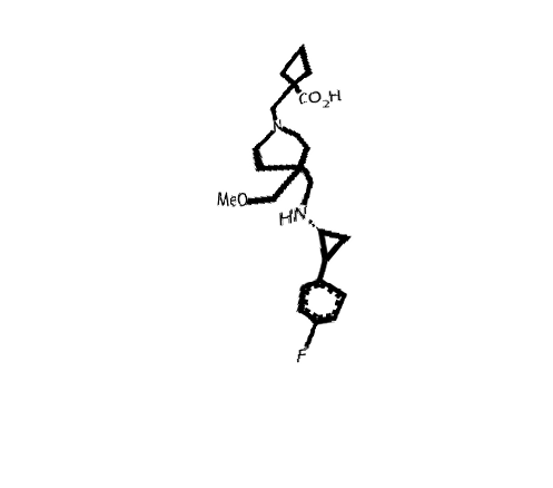 COCC1(CN[C@@H]2CC2c2ccc(F)cc2)CCN(CC2(C(=O)O)CCC2)CC1